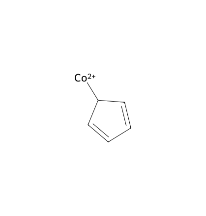 [Co+2][CH]1C=CC=C1